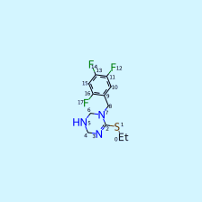 CCSC1=NCNCN1Cc1cc(F)c(F)cc1F